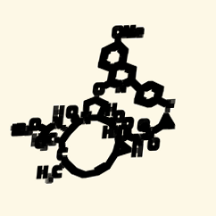 COc1ccc2c(O[C@@H]3C[C@H]4C(=O)N[C@]5(C(=O)NS(=O)(=O)C6CC6)CC5/C=C\CC[C@H](C)C[C@@H](C)[C@H](NC(=O)OC(C)(C)C)C(=O)N4C3)nc(-c3ccc(F)cc3)cc2c1